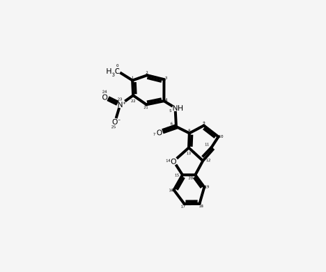 Cc1ccc(NC(=O)c2cccc3c2oc2ccccc23)cc1[N+](=O)[O-]